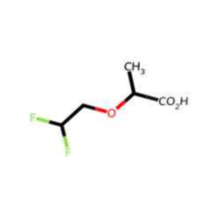 CC(OCC(F)F)C(=O)O